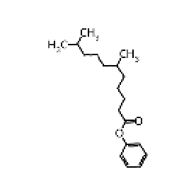 CC(C)CCCC(C)CCCCC(=O)Oc1ccccc1